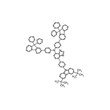 CC(C)(C)c1ccc2c(c1)c1cc(C(C)(C)C)ccc1n2-c1ccc(-c2ccc(N(c3ccc(-c4ccc5c(c4)C(c4ccccc4)(c4ccccc4)c4ccccc4-5)cc3)c3ccc(-c4ccc5c(c4)C(c4ccccc4)(c4ccccc4)c4ccccc4-5)cc3)c3nsnc23)cc1